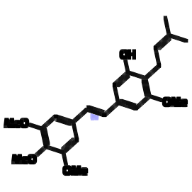 COc1cc(/C=C/c2cc(OC)c(OC)c(OC)c2)cc(O)c1CC=C(C)C